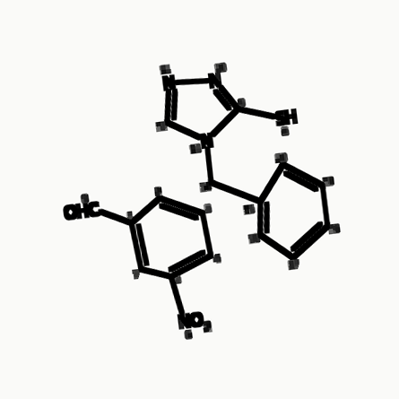 O=Cc1cccc([N+](=O)[O-])c1.Sc1nncn1Cc1ccccc1